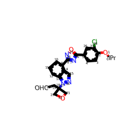 CC(C)Oc1ccc(-c2nc(-c3cccc4c3cnn4C3(CC=O)COC3)no2)cc1Cl